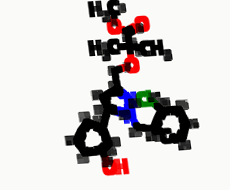 COC(=O)C(C)(C)OCc1cc(-c2cccc(O)c2)n(Cc2ccccc2Cl)n1